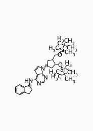 CC(C)(C)[Si](C)(C)OCC1C[C@@H](n2ccc3c(N[C@H]4CCc5ccccc54)ncnc32)CC1O[Si](C)(C)C(C)(C)C